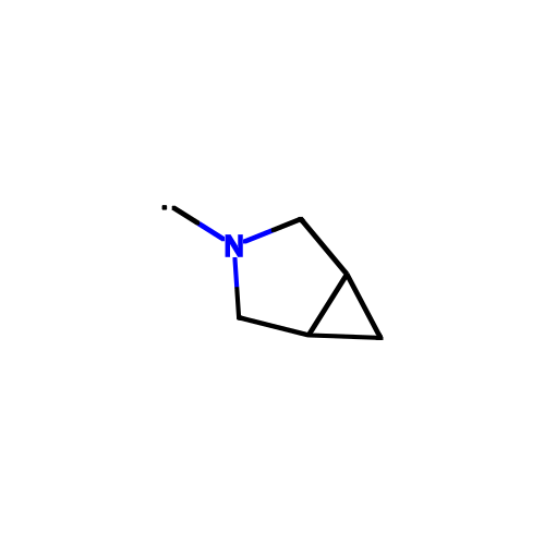 [CH2]N1CC2CC2C1